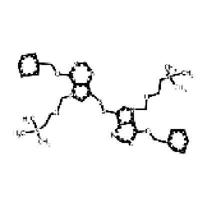 C[Si](C)(C)CCOCn1cc(SSc2cn(COCC[Si](C)(C)C)c3c(OCc4ccccc4)ncnc23)c2ncnc(OCc3ccccc3)c21